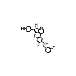 Fc1cccc(CNc2cc(-c3ccnc4[nH]c(C5=CCNCC5)cc34)c(F)cc2F)c1